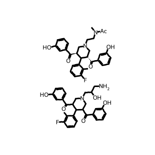 CC(=O)N(C)CCN1C[C@H](C(=O)c2cccc(O)c2)C(c2cccc(F)c2C)[C@@H](C(=O)c2cccc(O)c2)C1.Cc1c(F)cccc1C1C(C(=O)c2cccc(O)c2)CN(CC(O)CN)CC1C(=O)c1cccc(O)c1